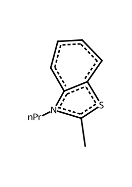 CCC[n+]1c(C)sc2ccccc21